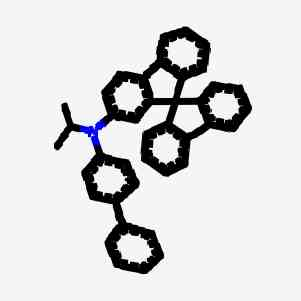 CC(C)N(c1ccc(-c2ccccc2)cc1)c1ccc2c(c1)C1(c3ccccc3-c3ccccc31)c1ccccc1-2